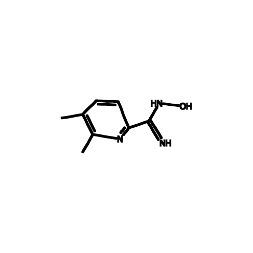 Cc1ccc(C(=N)NO)nc1C